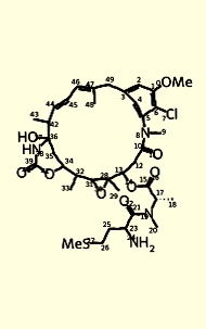 COc1cc2cc(c1Cl)N(C)C(=O)CC(OC(=O)[C@H](C)N(C)C(=O)C(N)CCSC)C1(C)OC1C(C)C1CC(O)(NC(=O)O1)C(C)/C=C/C=C(\C)C2